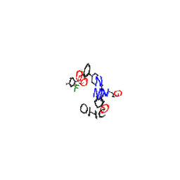 Cc1ccc(C2COc3c(cccc3C3CCN(Cc4nc5ccc(OC=O)cc5n4CC4CCO4)CC3)O2)c(F)c1